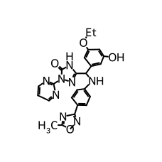 CCOc1cc(O)cc(C(Nc2ccc(-c3noc(C)n3)cc2)c2nn(-c3ncccn3)c(=O)[nH]2)c1